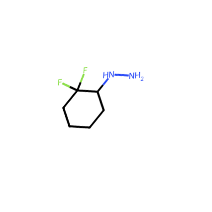 NNC1CCCCC1(F)F